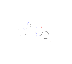 O=c1c2cc(Cl)c(Br)cc2ncn1CC1(C[C@H]2NCCC[C@@H]2O)N=N1